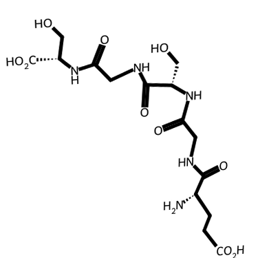 N[C@@H](CCC(=O)O)C(=O)NCC(=O)N[C@@H](CO)C(=O)NCC(=O)N[C@@H](CO)C(=O)O